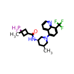 C[C@H]1C[C@@H](NC(=O)C2CC(C)(P)C2)CN(c2ccc(C(F)(F)F)c3ncccc23)C1